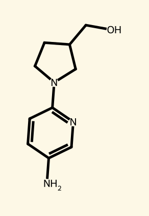 Nc1ccc(N2CCC(CO)C2)nc1